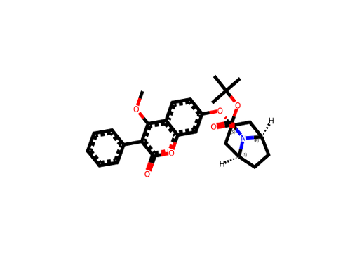 COc1c(-c2ccccc2)c(=O)oc2cc(O[C@@H]3C[C@H]4CC[C@@H](C3)N4C(=O)OC(C)(C)C)ccc12